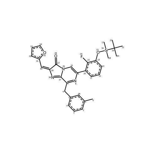 Cc1cccc(CC2=NC(c3cccc(O[Si](C)(C)C(C)(C)C)c3F)=CN3C(=O)/C(=C\c4ccco4)N=C23)c1